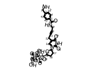 NCc1ccc(C(=O)NCC#CCc2cn([C@H]3CC[C@@H](COP(OO)(OOO)(P(=O)=O)P(=O)=O)O3)c(=O)[nH]c2=O)cc1